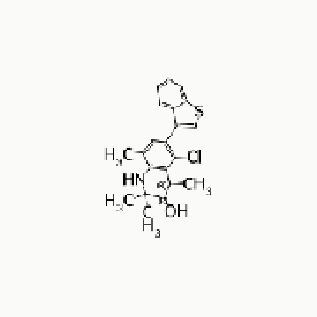 Cc1cc(-c2csc3ccccc23)c(Cl)c2c1NC(C)(C)[C@H](O)[C@@H]2C